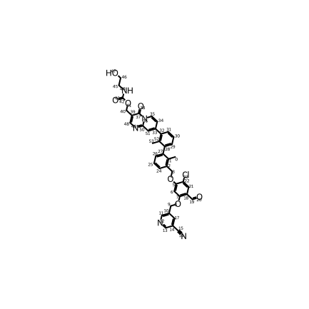 Cc1c(COc2cc(OCc3cncc(C#N)c3)c(C=O)cc2Cl)cccc1-c1cccc(-c2ccn3c(=O)c(COC(=O)NCCO)cnc3c2)c1C